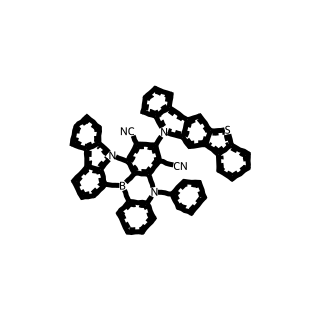 N#Cc1c2c3c(c(C#N)c1-n1c4ccccc4c4cc5sc6ccccc6c5cc41)-n1c4ccccc4c4cccc(c41)B3c1ccccc1N2c1ccccc1